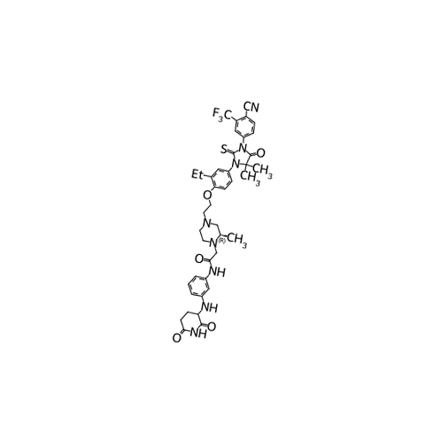 CCc1cc(N2C(=S)N(c3ccc(C#N)c(C(F)(F)F)c3)C(=O)C2(C)C)ccc1OCCN1CCN(CC(=O)Nc2cccc(NC3CCC(=O)NC3=O)c2)[C@H](C)C1